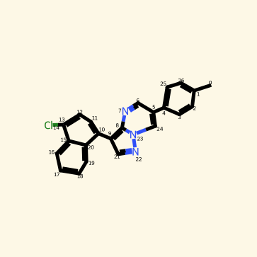 Cc1ccc(-c2cnc3c(-c4ccc(Cl)c5ccccc45)cnn3c2)cc1